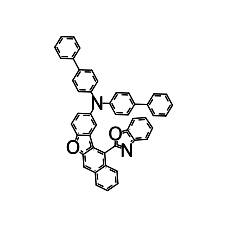 c1ccc(-c2ccc(N(c3ccc(-c4ccccc4)cc3)c3ccc4oc5cc6ccccc6c(-c6nc7ccccc7o6)c5c4c3)cc2)cc1